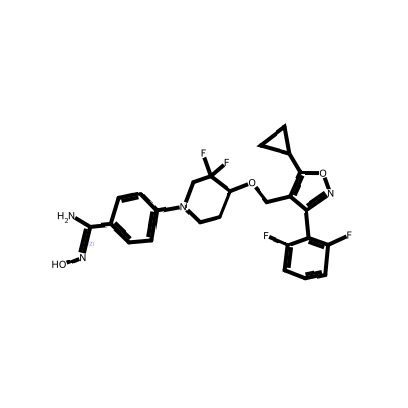 N/C(=N\O)c1ccc(N2CCC(OCc3c(-c4c(F)cccc4F)noc3C3CC3)C(F)(F)C2)cc1